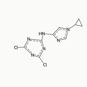 Clc1nc(Cl)nc(Nc2cn(C3CC3)cn2)n1